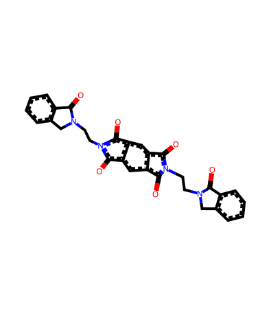 O=C1c2ccccc2CN1CCn1c(=O)c2cc3c(=O)n(CCN4Cc5ccccc5C4=O)c(=O)c3cc2c1=O